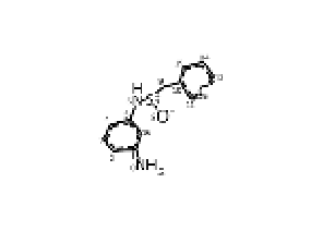 Nc1cccc(N[S+]([O-])Cc2ccccc2)c1